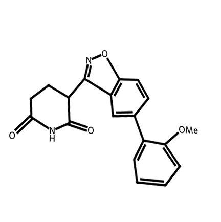 COc1ccccc1-c1ccc2onc(C3CCC(=O)NC3=O)c2c1